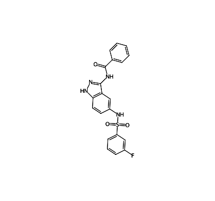 O=C(Nc1n[nH]c2ccc(NS(=O)(=O)c3cccc(F)c3)cc12)c1ccccc1